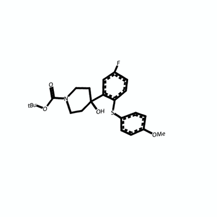 COc1ccc(Sc2ccc(F)cc2C2(O)CCN(C(=O)OC(C)(C)C)CC2)cc1